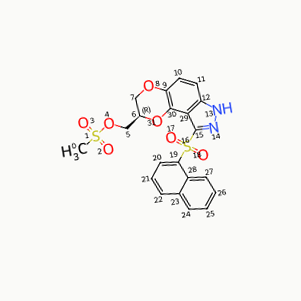 CS(=O)(=O)OC[C@H]1COc2ccc3[nH]nc(S(=O)(=O)c4cccc5ccccc45)c3c2O1